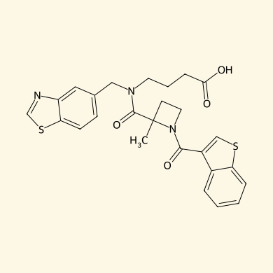 CC1(C(=O)N(CCCC(=O)O)Cc2ccc3scnc3c2)CCN1C(=O)c1csc2ccccc12